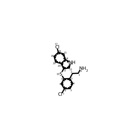 NCCc1ccc(Cl)cc1Sc1c[nH]c2cc(Cl)ccc12